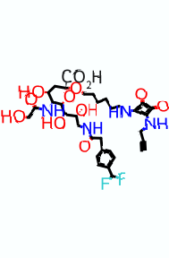 C#CCNc1c(NCCCCCCO[C@]2(C(=O)O)C[C@H](O)[C@@H](NC(=O)CO)[C@H]([C@H](O)[C@H](O)CNC(=O)Cc3ccc(C(F)F)cc3)O2)c(=O)c1=O